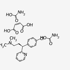 CN(C)CC[C@@H](c1ccc(Cl)cc1)c1ccccn1.NC(=O)O.NC(=O)O.O=C(O)/C=C\C(=O)O